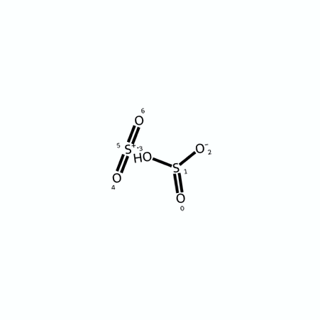 O=S([O-])O.O=[S+]=O